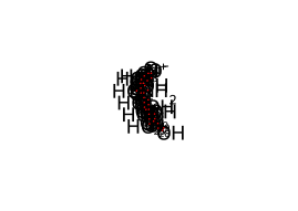 Nc1c(N=Nc2ccc3c(O)c(N=Nc4cc(S(=O)(=O)O)c(N=Nc5ccc(O)cc5)cc4S(=O)(=O)O)c(S(=O)(=O)O)cc3c2S(=O)(=O)O)cc(S(=O)(=O)O)c2cc(S(=O)(=O)O)c(N=Nc3ccc([N+](=O)[O-])cc3S(=O)(=O)O)c(O)c12